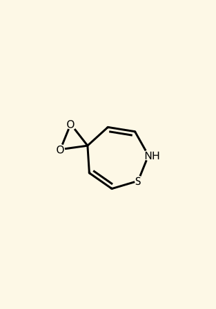 C1=CC2(C=CSN1)OO2